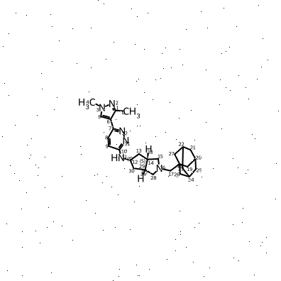 Cc1nn(C)cc1-c1ccc(N[C@H]2C[C@@H]3CN(CC45CC6CC(CC(C6)C4)C5)C[C@@H]3C2)nn1